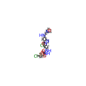 O=C(Nc1ccc(-n2cnc3cc(NCCN4CCOCC4)ccc3c2=O)c(Cl)c1)NS(=O)(=O)C1=CCC(Cl)S1